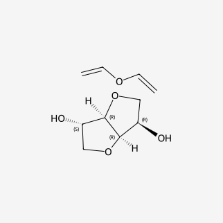 C=COC=C.O[C@@H]1CO[C@H]2[C@@H]1OC[C@@H]2O